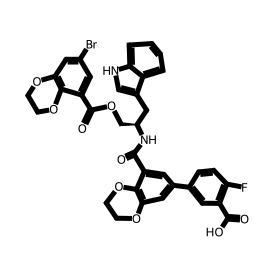 O=C(O)c1cc(-c2cc3c(c(C(=O)N[C@@H](COC(=O)c4cc(Br)cc5c4OCCO5)Cc4c[nH]c5ccccc45)c2)OCCO3)ccc1F